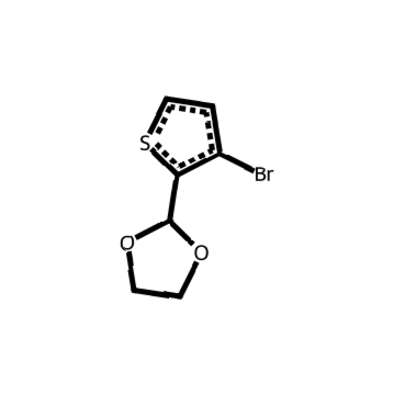 Brc1ccsc1C1OCCO1